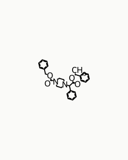 C[C@H](OC(=O)C(c1ccccc1)N1CCN(C(=O)OCc2ccccc2)CC1)c1ccccc1